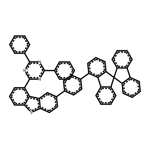 c1ccc(-c2nc(-c3ccccc3)nc(-c3cccc4sc5ccc(-c6ccc(-c7cccc8c7-c7ccccc7C87c8ccccc8-c8ccccc87)cc6)cc5c34)n2)cc1